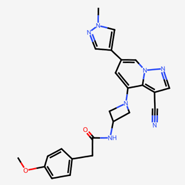 COc1ccc(CC(=O)NC2CN(c3cc(-c4cnn(C)c4)cn4ncc(C#N)c34)C2)cc1